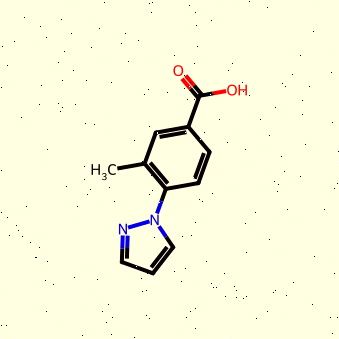 Cc1cc(C(=O)O)ccc1-n1cccn1